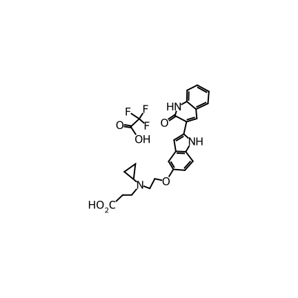 O=C(O)C(F)(F)F.O=C(O)CCN(CCOc1ccc2[nH]c(-c3cc4ccccc4[nH]c3=O)cc2c1)C1CC1